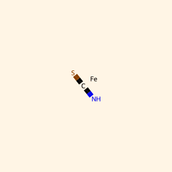 N=C=S.[Fe]